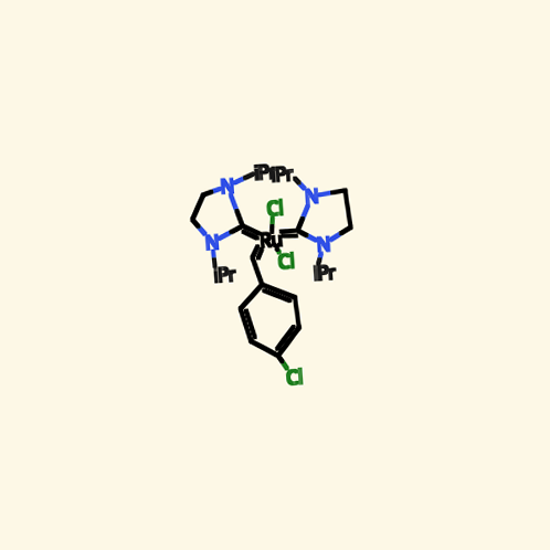 CC(C)N1CCN(C(C)C)[C]1=[Ru]([Cl])([Cl])(=[CH]c1ccc(Cl)cc1)=[C]1N(C(C)C)CCN1C(C)C